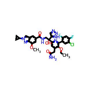 CCOc1c(CC(N)=O)cc([C@](O)(CNC(=O)c2cc(OC)c3nn(C4CC4)cc3c2)c2cnn[nH]2)nc1-c1cc(Cl)c(F)cc1F